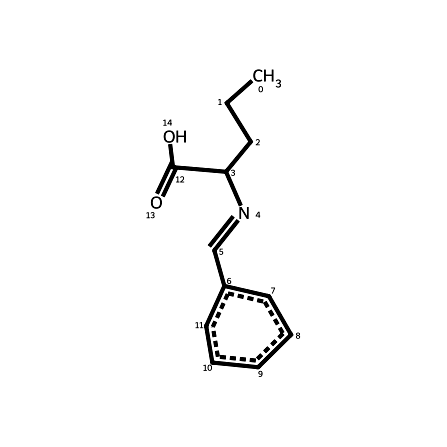 CCCC(N=Cc1ccccc1)C(=O)O